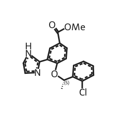 COC(=O)c1ccc(O[C@@H](C)c2ccccc2Cl)c(-c2ncc[nH]2)c1